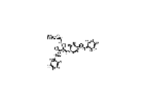 COCCOC(=Cc1ccc(OCc2ccccc2)cc1)C(=O)OCc1ccccc1